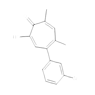 Cc1cc(C)c(=O)c(O)cc1-c1cccc(Br)c1